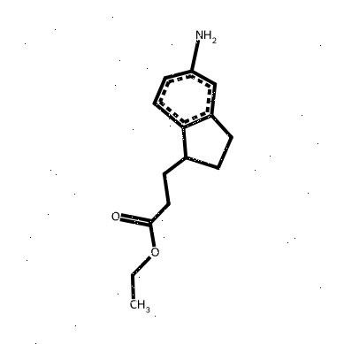 CCOC(=O)CCC1CCc2cc(N)ccc21